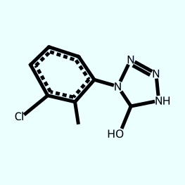 Cc1c(Cl)cccc1N1N=NNC1O